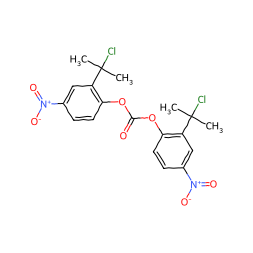 CC(C)(Cl)c1cc([N+](=O)[O-])ccc1OC(=O)Oc1ccc([N+](=O)[O-])cc1C(C)(C)Cl